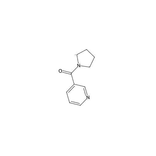 O=C(c1cccnc1)N1[CH]CCC1